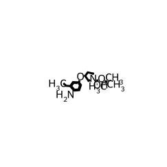 CCc1cc(OC2CCN([C@@H](O)OC(C)(C)C)C2)ccc1N